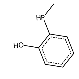 CPc1ccccc1O